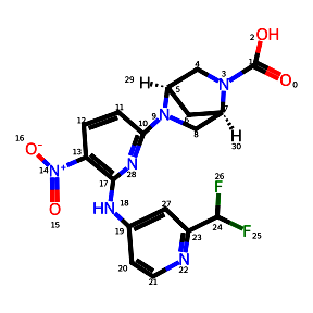 O=C(O)N1C[C@H]2C[C@@H]1CN2c1ccc([N+](=O)[O-])c(Nc2ccnc(C(F)F)c2)n1